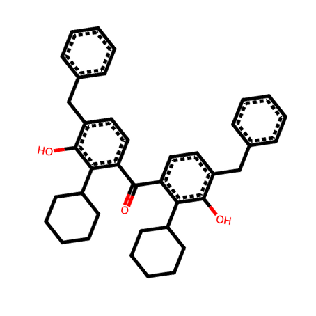 O=C(c1ccc(Cc2ccccc2)c(O)c1C1CCCCC1)c1ccc(Cc2ccccc2)c(O)c1C1CCCCC1